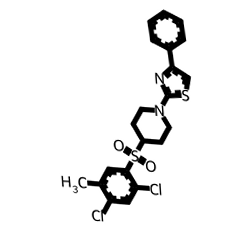 Cc1cc(S(=O)(=O)C2CCN(c3nc(-c4ccccc4)cs3)CC2)c(Cl)cc1Cl